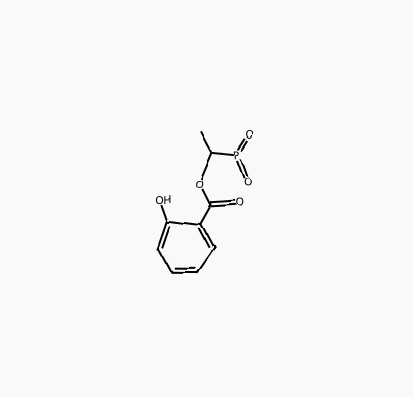 CC(OC(=O)c1ccccc1O)P(=O)=O